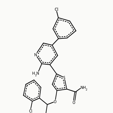 CC(Oc1cc(-c2cc(-c3cccc(Cl)c3)cnc2N)sc1C(N)=O)c1ccccc1Cl